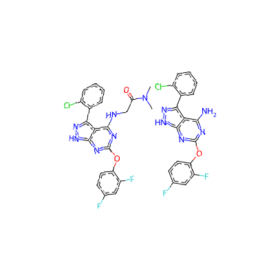 CN(C)C(=O)CNc1nc(Oc2ccc(F)cc2F)nc2[nH]nc(-c3ccccc3Cl)c12.Nc1nc(Oc2ccc(F)cc2F)nc2[nH]nc(-c3ccccc3Cl)c12